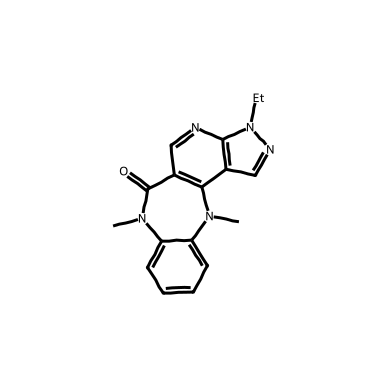 CCn1ncc2c3c(cnc21)C(=O)N(C)c1ccccc1N3C